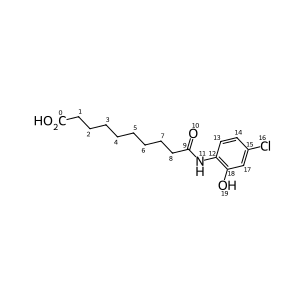 O=C(O)CCCCCCCCC(=O)Nc1ccc(Cl)cc1O